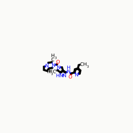 CCc1ccnc(C(=O)Nc2n[nH]c3c2CN(C(=O)N2C[C@@H]4CCCN4CC2C)[C@H]3C)c1